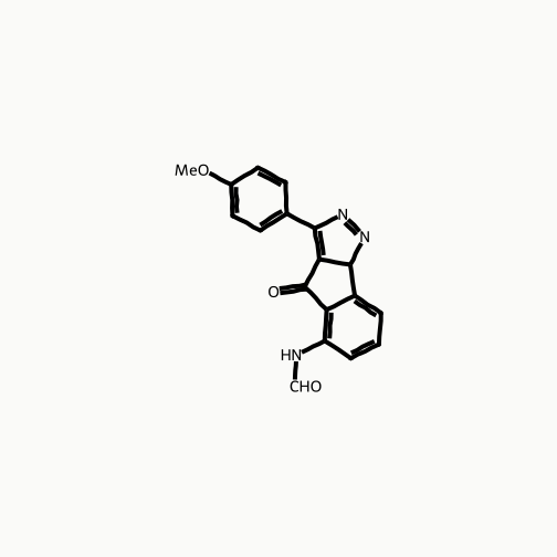 COc1ccc(C2=C3C(=O)c4c(NC=O)cccc4C3N=N2)cc1